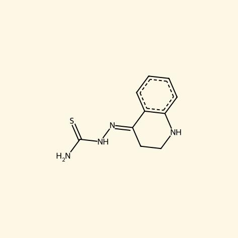 NC(=S)NN=C1CCNc2ccccc21